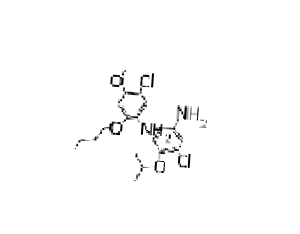 CC(C)Oc1ccc(N)cc1Cl.CCCCOc1cc(OC)c(Cl)cc1N